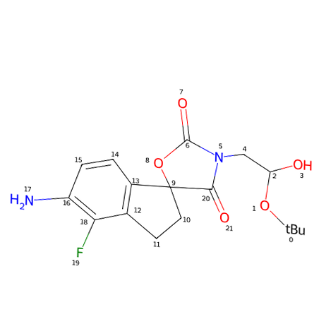 CC(C)(C)OC(O)CN1C(=O)OC2(CCc3c2ccc(N)c3F)C1=O